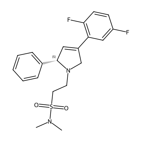 CN(C)S(=O)(=O)CCN1CC(c2cc(F)ccc2F)=C[C@H]1c1ccccc1